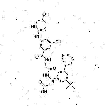 CC(C)(C)c1cc(-c2cncnc2)cc([C@H](CC(=O)O)NC(=O)CNC(=O)c2cc(O)cc(NC3=NCC(O)CN3)c2)c1